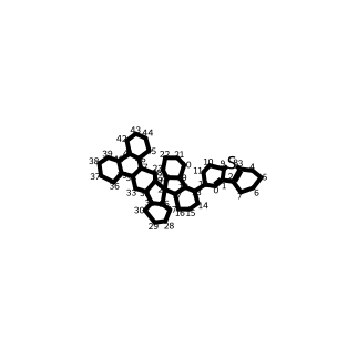 C1=C2C3=C(CCCC3)SC2CCC1C1CCCC2C1C1CCCCC1C21C2CCCCC2C2CC3C4CCCCC4C4CCCCC4C3CC21